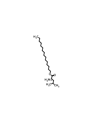 CCCCCCCCCCCCCCCCOC(=O)[C@@H](N)CC(C)C